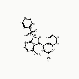 Nc1ncnc2c1c(C(NC(=O)O)c1ccccc1)cn2S(=O)(=O)c1ccccc1